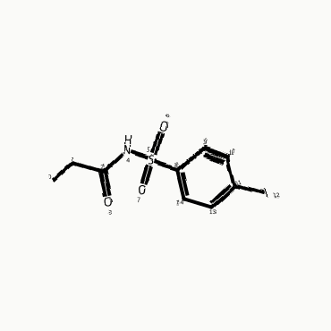 C[CH]C(=O)NS(=O)(=O)c1ccc(I)cc1